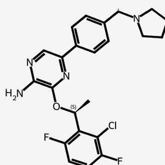 C[C@H](Oc1nc(-c2ccc([CH]N3CCCC3)cc2)cnc1N)c1c(F)ccc(F)c1Cl